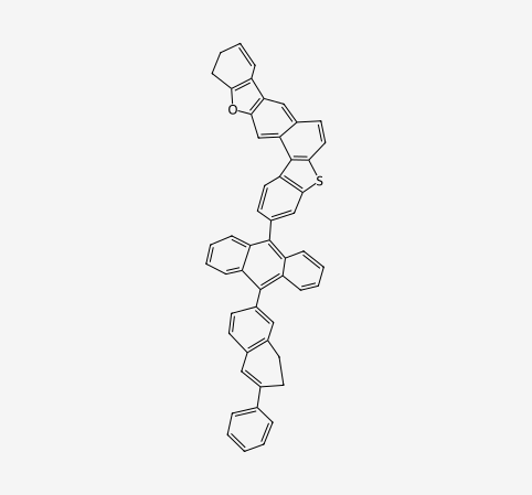 C1=Cc2c(oc3cc4c(ccc5sc6cc(-c7c8ccccc8c(-c8ccc9c(c8)CCC(c8ccccc8)=C9)c8ccccc78)ccc6c54)cc23)CC1